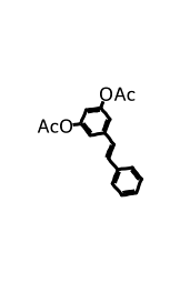 CC(=O)Oc1cc(C=Cc2ccccc2)cc(OC(C)=O)c1